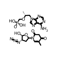 CC1=CN(C2C[C@H](N=[N+]=[N-])[C@@H](O)O2)C(=O)CC1=O.C[C@H](Cn1cnc2c(N)ncnc21)OCP(=O)(O)O